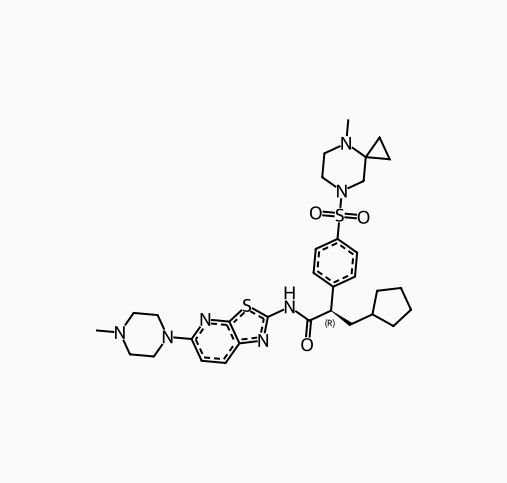 CN1CCN(c2ccc3nc(NC(=O)[C@H](CC4CCCC4)c4ccc(S(=O)(=O)N5CCN(C)C6(CC6)C5)cc4)sc3n2)CC1